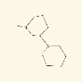 CN1CCCC(N2CCCCC2)C1